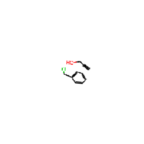 C#CCO.ClCc1ccccc1